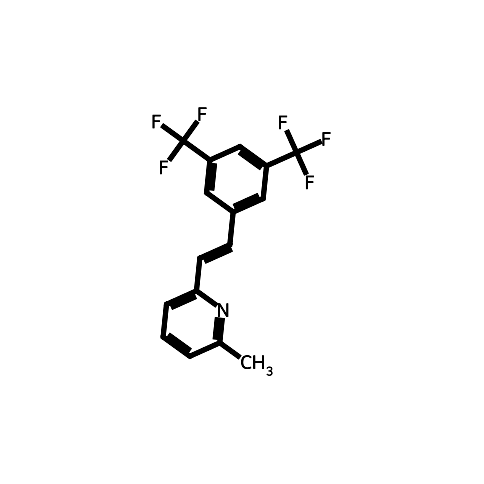 Cc1cccc(C=Cc2cc(C(F)(F)F)cc(C(F)(F)F)c2)n1